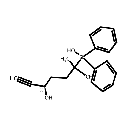 C#C[C@H](O)CCC(C)(C)[Si](O)(c1ccccc1)c1ccccc1